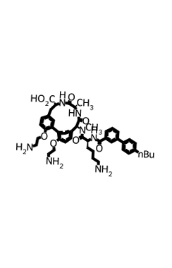 CCCCc1ccc(-c2cccc(C(=O)N[C@@H](CCCCN)C(=O)N(C)[C@@H]3C(=O)N[C@@H](C)C(=O)N[C@H](C(=O)O)Cc4ccc(OCCN)c(c4)-c4cc3ccc4OCCN)c2)cc1